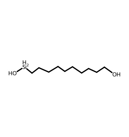 OCCCCCCCCCC[SiH2]O